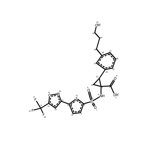 O=C(O)C1(NS(=O)(=O)c2ccc(-c3cc(C(F)(F)F)on3)s2)CC1c1cccc(CCCO)c1